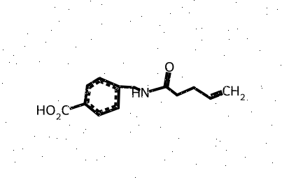 C=CCCC(=O)NCc1ccc(C(=O)O)cc1